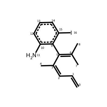 C=C/C=C(/C)C(=C(C)C)c1c(N)cccc1I